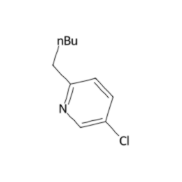 [CH2]CCCCc1ccc(Cl)cn1